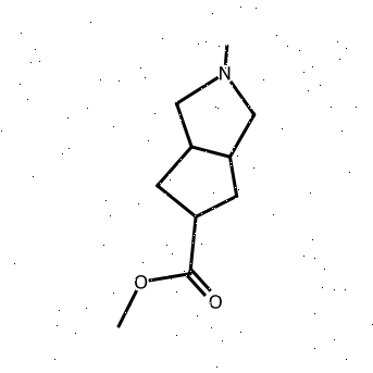 COC(=O)C1CC2CN(C)CC2C1